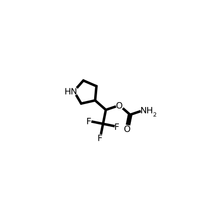 NC(=O)OC(C1CCNC1)C(F)(F)F